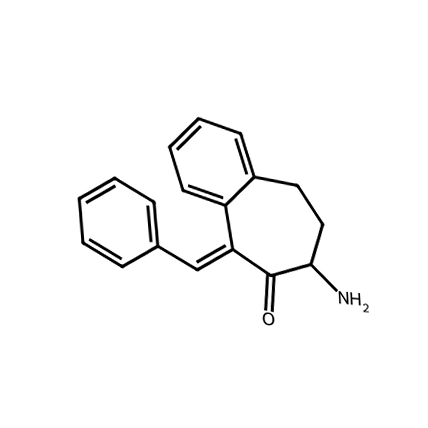 NC1CCc2ccccc2/C(=C\c2ccccc2)C1=O